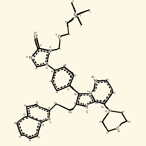 C[Si](C)(C)CCOCn1c(=O)ncn1-c1ccc(-c2c(CCc3ccc4ccccc4n3)nc3c(N4CCOCC4)ccnn23)cc1